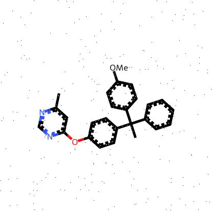 COc1ccc(C(C)(c2ccccc2)c2ccc(Oc3cc(C)ncn3)cc2)cc1